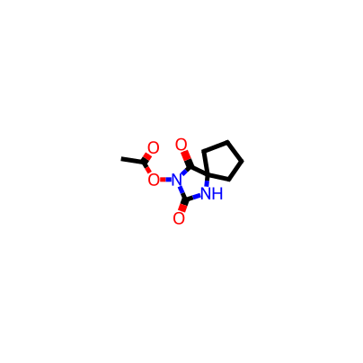 CC(=O)ON1C(=O)NC2(CCCC2)C1=O